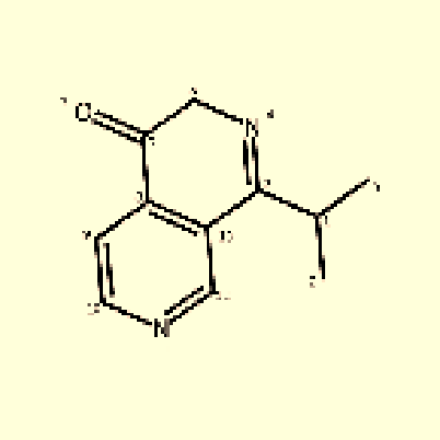 CC(C)C1=NCC(=O)c2ccncc21